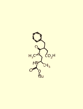 CC(CN(C)C(=O)C(CC(=O)O)Cc1ccccc1)NC(=O)OC(C)(C)C